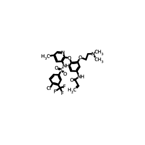 C=CC(=O)Nc1ccc(Oc2ncc(C)cc2NS(=O)(=O)c2ccc(Cl)c(C(F)(F)F)c2)c(OCCN(C)C)c1